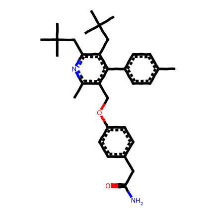 Cc1ccc(-c2c([CH]C(C)(C)C)c(CC(C)(C)C)nc(C)c2COc2ccc(CC(N)=O)cc2)cc1